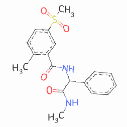 CNC(=O)C(NC(=O)c1cc(S(C)(=O)=O)ccc1C)c1ccccc1